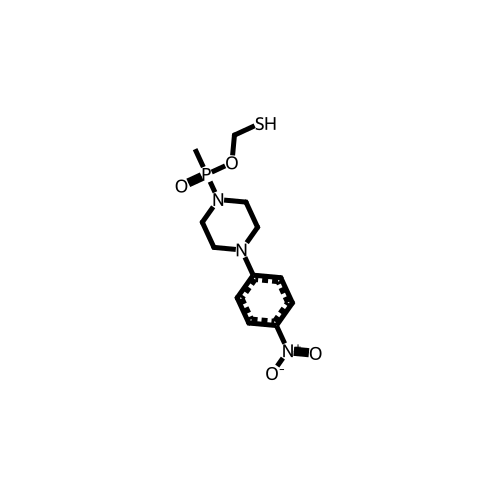 CP(=O)(OCS)N1CCN(c2ccc([N+](=O)[O-])cc2)CC1